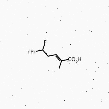 CCCC(F)CC=C(C)C(=O)O